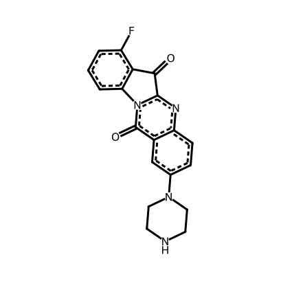 O=C1c2c(F)cccc2-n2c1nc1ccc(N3CCNCC3)cc1c2=O